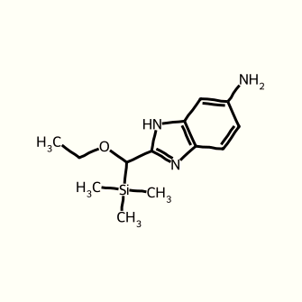 CCOC(c1nc2ccc(N)cc2[nH]1)[Si](C)(C)C